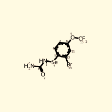 NC(=O)N[Se]c1ccc(OC(F)(F)F)cc1Br